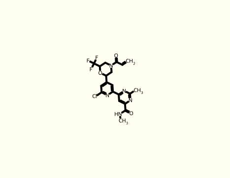 C=CC(=O)N1CC(c2cc(Cl)nc(-c3cc(C(=O)NC)nc(C)n3)c2)OC(C(F)(F)F)C1